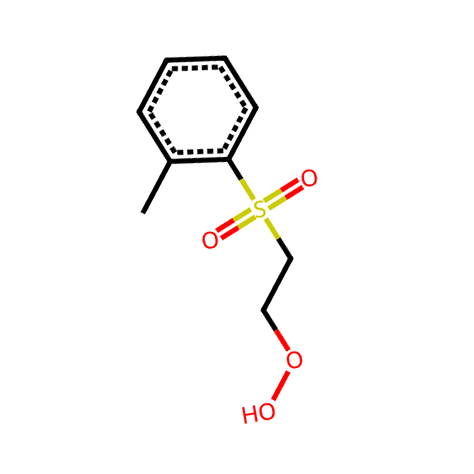 Cc1ccccc1S(=O)(=O)CCOO